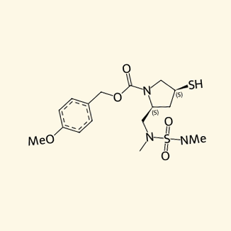 CNS(=O)(=O)N(C)C[C@@H]1C[C@H](S)CN1C(=O)OCc1ccc(OC)cc1